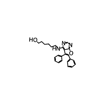 OCCCCCCNc1ncnc2oc(-c3ccccc3)c(-c3ccccc3)c12